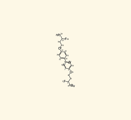 CCCCC(F)CCOc1cnc(-c2ccc(OCCC(F)CCC)cc2)nc1